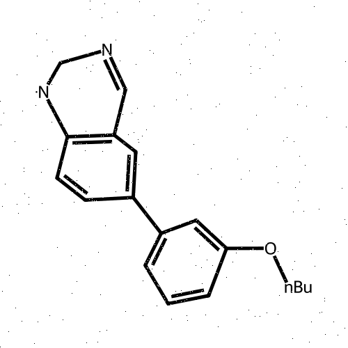 CCCCOc1cccc(-c2ccc3c(c2)C=NC[N]3)c1